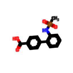 CS(=O)(=O)Nc1ccccc1-c1ccc(C(=O)O)cc1